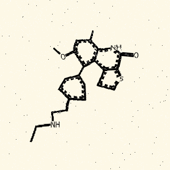 CCNCCc1ccc(-c2c(OC)cc(C)c3[nH]c(=O)c4sccc4c23)cc1